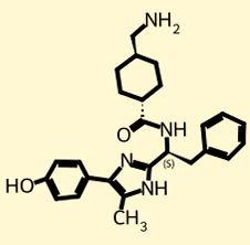 Cc1[nH]c([C@H](Cc2ccccc2)NC(=O)[C@H]2CC[C@H](CN)CC2)nc1-c1ccc(O)cc1